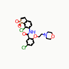 O=C(Nc1ccc2c(c1Cl)S(=O)(=O)C=C2)c1cc(Cl)ccc1OCCN1CCOCC1